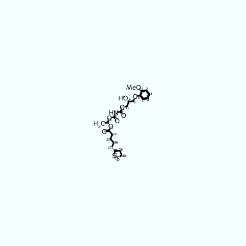 COc1ccccc1OCC(O)COC(=O)NC(=O)OC(C)OC(=O)CCCC[C@@H]1CCSS1